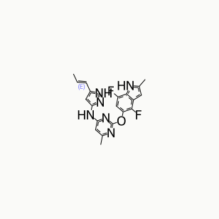 C/C=C/c1cc(Nc2cc(C)nc(Oc3cc(F)c4[nH]c(C)cc4c3F)n2)n[nH]1